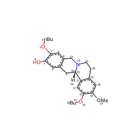 CCCCOc1cc2c(cc1O)C[C@H]1c3cc(OCCCC)c(OC)cc3CCN1C2